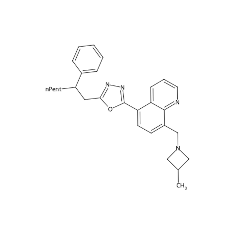 CCCCCC(Cc1nnc(-c2ccc(CN3CC(C)C3)c3ncccc23)o1)c1ccccc1